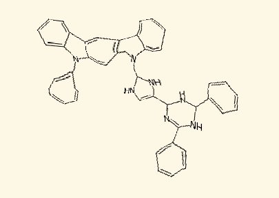 C1=C(C2N=C(c3ccccc3)NC(c3ccccc3)N2)NC(n2c3ccccc3c3cc4c5ccccc5n(-c5ccccc5)c4cc32)N1